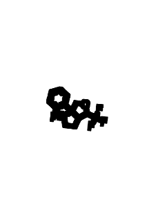 Fc1ccccc1C12COC(C(F)(F)F)C1CCN2